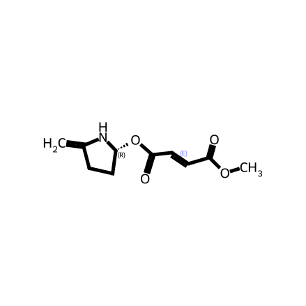 C=C1CC[C@@H](OC(=O)/C=C/C(=O)OC)N1